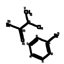 Brc1ccccc1.CC(Cl)C(=O)Br